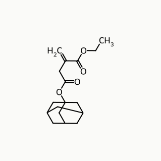 C=C(CC(=O)OC12CC3CC(CC(C3)C1)C2)C(=O)OCC